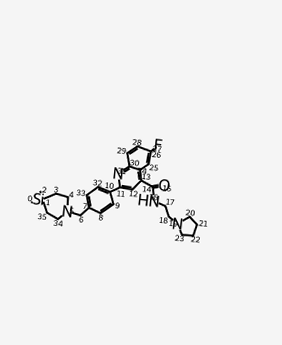 C[Si]1(C)CCN(Cc2ccc(-c3cc(C(=O)NCCN4CCCC4)c4cc(F)ccc4n3)cc2)CC1